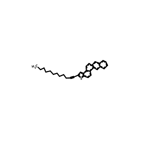 CCCCCCCCCCC#Cc1cc2c(ccc3c4cc5ccccc5cc4ccc23)s1